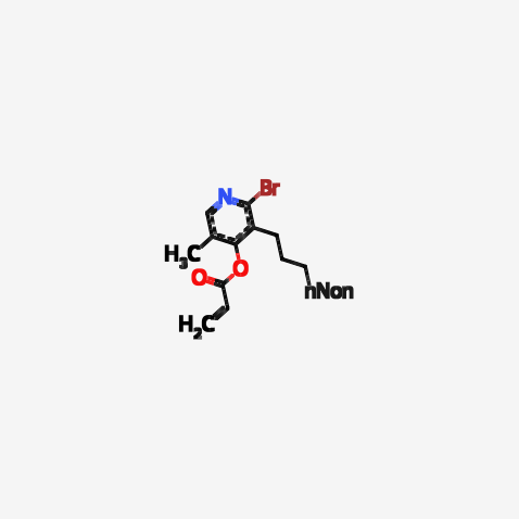 C=CC(=O)Oc1c(C)cnc(Br)c1CCCCCCCCCCCC